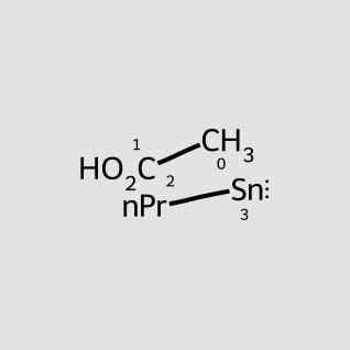 CC(=O)O.CC[CH2][Sn]